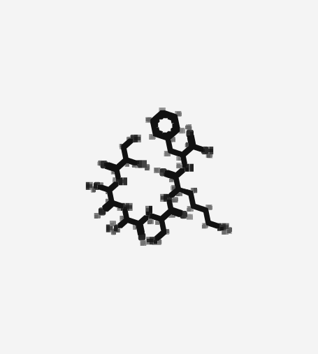 CC(NC(=O)C(N)CS)C(=O)NC(C)C(=O)NC(CS)C(=O)N[C@H](CCCCN)C(=O)NC(Cc1ccccc1)C(=O)O